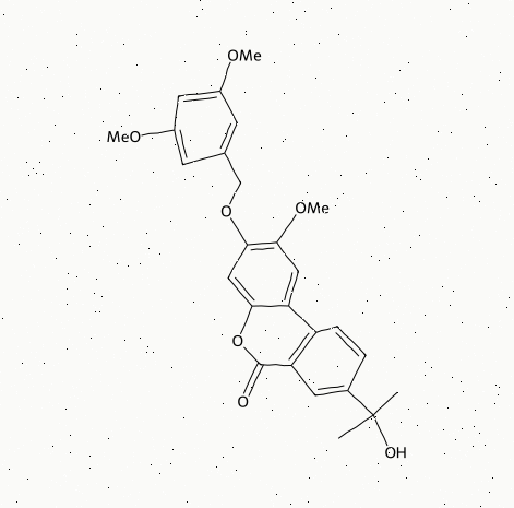 COc1cc(COc2cc3oc(=O)c4cc(C(C)(C)O)ccc4c3cc2OC)cc(OC)c1